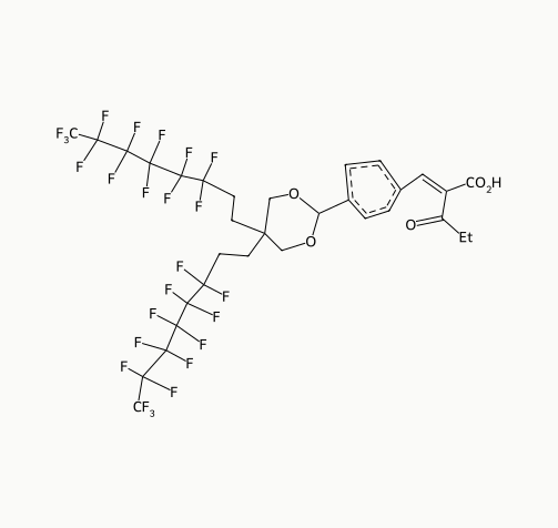 CCC(=O)C(=Cc1ccc(C2OCC(CCC(F)(F)C(F)(F)C(F)(F)C(F)(F)C(F)(F)C(F)(F)F)(CCC(F)(F)C(F)(F)C(F)(F)C(F)(F)C(F)(F)C(F)(F)F)CO2)cc1)C(=O)O